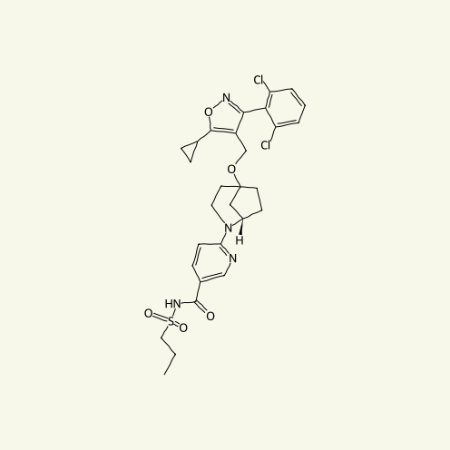 CCCS(=O)(=O)NC(=O)c1ccc(N2CCC3(OCc4c(-c5c(Cl)cccc5Cl)noc4C4CC4)CC[C@H]2C3)nc1